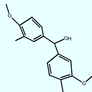 COc1ccc(C(O)c2ccc(C)c(OC)c2)cc1C